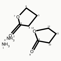 N.N.O=C1CCCO1.O=C1CCCO1